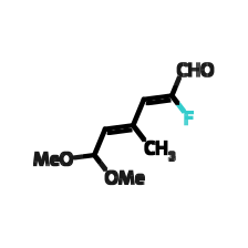 COC(/C=C(C)/C=C(\F)C=O)OC